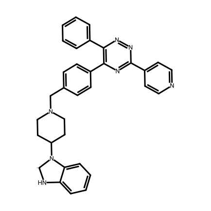 [CH]1Nc2ccccc2N1C1CCN(Cc2ccc(-c3nc(-c4ccncc4)nnc3-c3ccccc3)cc2)CC1